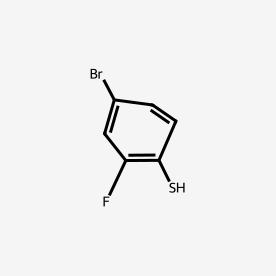 Fc1cc(Br)ccc1S